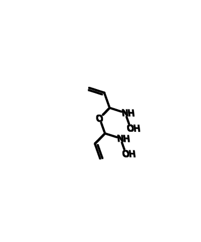 C=CC(NO)OC(C=C)NO